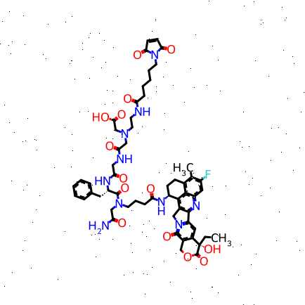 CC[C@@]1(O)C(=O)OCc2c1cc1n(c2=O)Cc2c-1nc1cc(F)c(C)c3c1c2[C@@H](NC(=O)CCCN(CC(N)=O)C(=O)[C@H](Cc1ccccc1)NC(=O)CNC(=O)CN(CCNC(=O)CCCCCN1C(=O)C=CC1=O)CC(=O)O)CC3